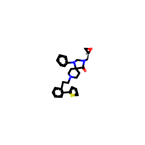 O=C1N(C[C@@H]2CO2)CN(c2ccccc2)C12CCN(CCc1ccccc1-c1cccs1)CC2